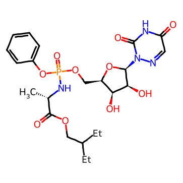 CCC(CC)COC(=O)[C@H](C)NP(=O)(OC[C@H]1O[C@@H](n2ncc(=O)[nH]c2=O)[C@@H](O)[C@H]1O)Oc1ccccc1